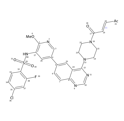 COc1ncc(-c2ccc3ncnc(N4CCN(C(=O)/C=C/C(C)=O)CC4)c3c2)cc1NS(=O)(=O)c1ccc(Cl)cc1F